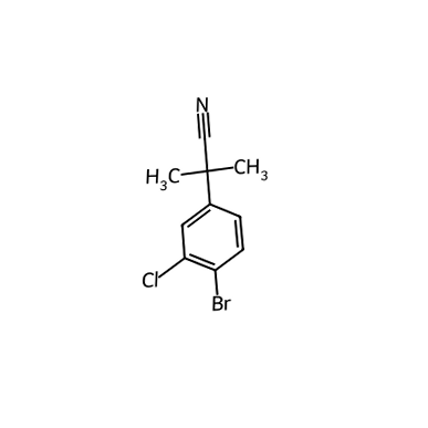 CC(C)(C#N)c1ccc(Br)c(Cl)c1